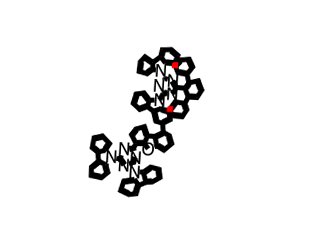 c1ccc(-c2cccc(-c3ccccc3)c2-c2nc(-n3c4ccccc4c4ccccc43)nc(-n3c4ccccc4c4cc(-c5cccc6oc7c(-c8nc(-n9c%10ccccc%10c%10ccccc%109)nc(-n9c%10ccccc%10c%10ccccc%109)n8)cccc7c56)ccc43)n2)cc1